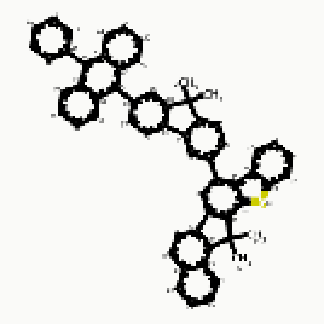 CC1(C)c2ccc(-c3cc4c(c5sc6ccccc6c35)C(C)(C)c3c-4ccc4ccccc34)cc2-c2ccc(-c3c4ccccc4c(-c4ccccc4)c4ccccc34)cc21